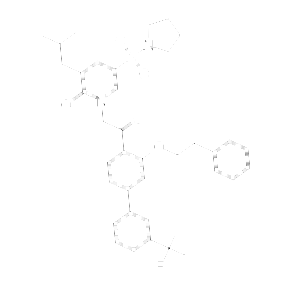 CC(C)Cc1cc(S(=O)(=O)N2CCCC2)cn(CC(=O)c2ccc(-c3cccc(C(F)(F)F)c3)cc2OCCc2ccccc2)c1=O